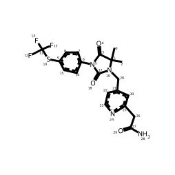 CC1(C)C(=O)N(c2ccc(SC(F)(F)F)cc2)C(=O)N1Cc1ccnc(CC(N)=O)c1